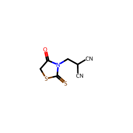 N#CC(C#N)CN1C(=O)CSC1=S